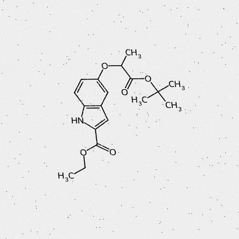 CCOC(=O)c1cc2cc(OC(C)C(=O)OC(C)(C)C)ccc2[nH]1